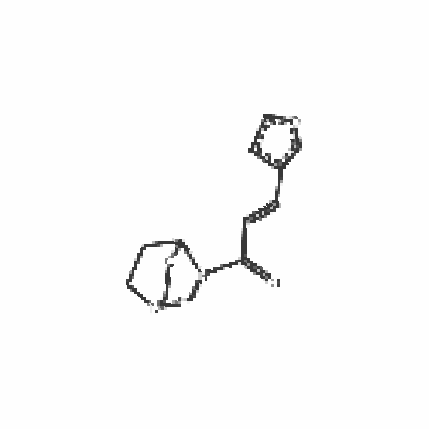 O=C(C=Cc1ccoc1)N1CCN2CCC1CC2